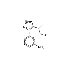 CC(CF)n1cnnc1-c1cccc(N)n1